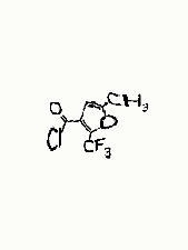 Cc1cc(C(=O)Cl)c(C(F)(F)F)o1